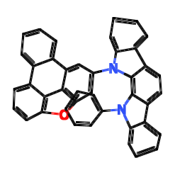 c1ccc(-n2c3ccccc3c3ccc4c5ccccc5n(-c5cc6oc7cccc8c9ccccc9c(c5)c6c78)c4c32)cc1